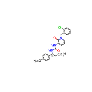 COc1ccc([C@H](CC(=O)O)NC(=O)Nc2cccn(Cc3ccccc3Cl)c2=O)cc1